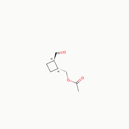 CC(=O)OC[C@@H]1CC[C@H]1C=O